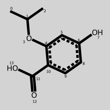 CC(C)Oc1cc(O)ccc1C(=O)O